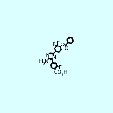 Nc1ncc(C2CCC(OC(=O)c3ccccc3)C(F)(F)C2)nc1-c1ccc(C(=O)O)c(F)c1